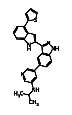 CC(C)Nc1cncc(-c2ccc3[nH]nc(-c4cc5c(-c6cccs6)cccc5[nH]4)c3c2)c1